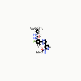 COC(=O)Nc1cc(-c2ccnc(-c3cc(NC(=O)NCCC(C)(C)OC)c(F)cc3C)n2)ccn1